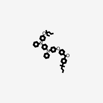 CCCC(C)(CC)Oc1ccc(N(c2ccccc2)c2ccc(N(c3ccccc3)c3ccc(Oc4ccc(C(=O)c5ccc(C(C)(C)CCC)cc5)cc4)cc3)cc2)cc1